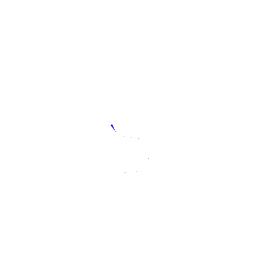 S=C=N[C@H]1CCCOC1